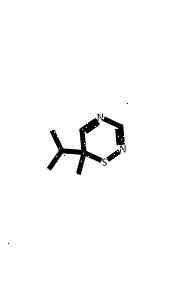 CC(C)C1(C)C=NC=NS1